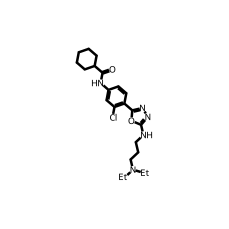 CCN(CC)CCCNc1nnc(-c2ccc(NC(=O)C3CCCCC3)cc2Cl)o1